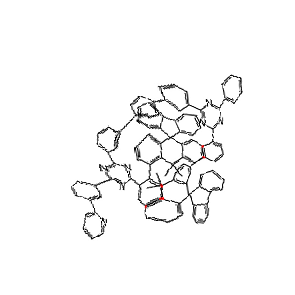 CC1(C)c2ccccc2C2(c3ccccc3-c3ccccc32)c2cc(-c3cccc(-c4nc(-c5ccccc5)nc(-c5cccc(-c6ccc(-c7cccc(-c8nc(-c9cccc(-c%10ccccn%10)c9)nc(-c9ccccc9-c9cccc%10c9C(C)(C)c9ccccc9C%109c%10ccccc%10-c%10ccccc%109)n8)c7)cc6)c5)n4)c3)ccc21